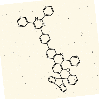 c1ccc(-c2cc(-c3ccc(-c4ccc5c(c4)nc(-c4ccccc4)c4c6c(ccc45)C4(c5ccccc5O6)c5ccccc5-c5ccccc54)cc3)nc(-c3ccccc3)n2)cc1